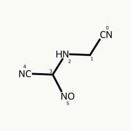 N#CCNC(C#N)N=O